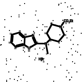 Br.CCOC(=O)N1CCC(N(C)c2nc3ccccc3o2)CC1